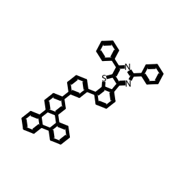 c1ccc(-c2nc(-c3ccccc3)c3sc4c(-c5cccc(-c6ccc7c8ccccc8c8ccccc8c7c6)c5)cccc4c3n2)cc1